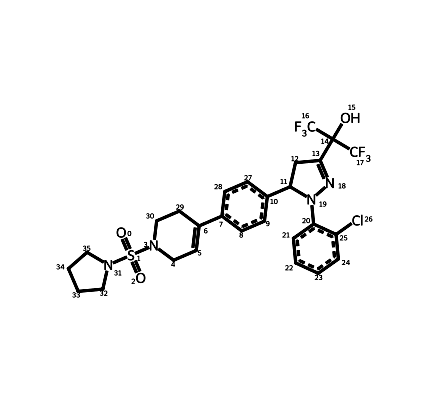 O=S(=O)(N1CC=C(c2ccc(C3CC(C(O)(C(F)(F)F)C(F)(F)F)=NN3c3ccccc3Cl)cc2)CC1)N1CCCC1